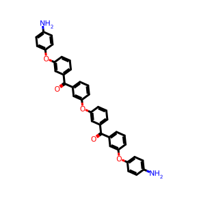 Nc1ccc(Oc2cccc(C(=O)c3cccc(Oc4cccc(C(=O)c5cccc(Oc6ccc(N)cc6)c5)c4)c3)c2)cc1